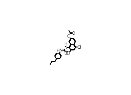 CCCc1ccc(NC(=O)Nc2c(Cl)cc(Cl)c3ccc(OC(C)=O)cc23)cc1